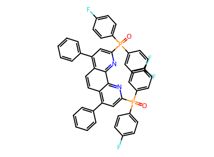 O=P(c1ccc(F)cc1)(c1ccc(F)cc1)c1cc(-c2ccccc2)c2ccc3c(-c4ccccc4)cc(P(=O)(c4ccc(F)cc4)c4ccc(F)cc4)nc3c2n1